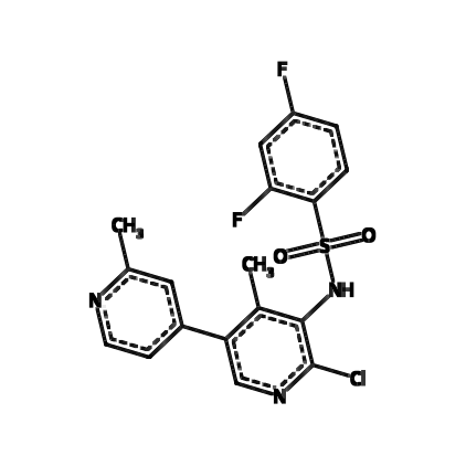 Cc1cc(-c2cnc(Cl)c(NS(=O)(=O)c3ccc(F)cc3F)c2C)ccn1